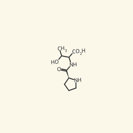 CC(O)C(NC(=O)[C@@H]1CCCN1)C(=O)O